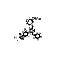 COC1COCCN(Cc2nc(Cc3ccccc3)n(-c3ccc(S(N)(=O)=O)cc3F)n2)C1